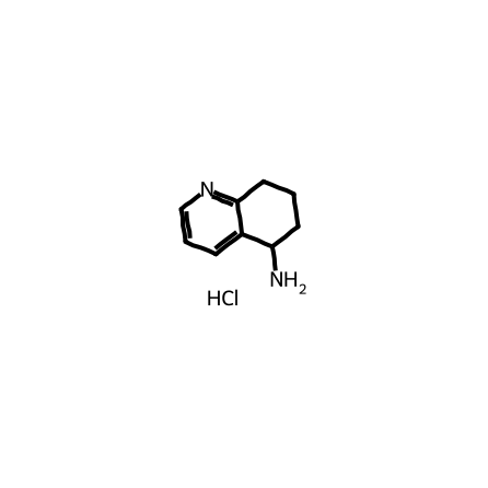 Cl.NC1CCCc2ncccc21